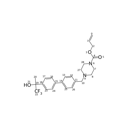 C=CCOC(=O)N1CCN(Cc2ccc(-c3ccc(C(C)(O)C(F)(F)F)cc3)cc2)CC1